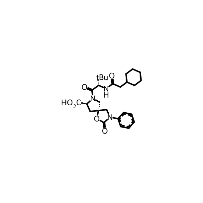 CC(C)(C)[C@H](NC(=O)CC1CCCCC1)C(=O)N1C[C@]2(C[C@H]1C(=O)O)CN(c1ccccc1)C(=O)O2